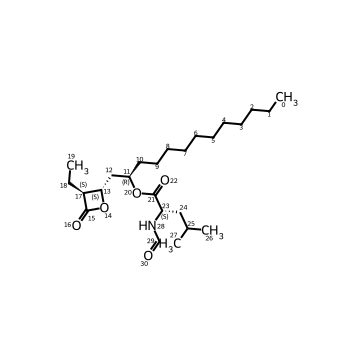 CCCCCCCCCCC[C@H](C[C@@H]1OC(=O)[C@H]1CC)OC(=O)[C@H](CC(C)C)NC=O